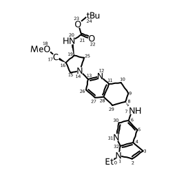 CCn1ccc2cc(N[C@H]3CCc4nc(N5C[C@@H](COC)[C@@H](NC(=O)OC(C)(C)C)C5)ccc4C3)cnc21